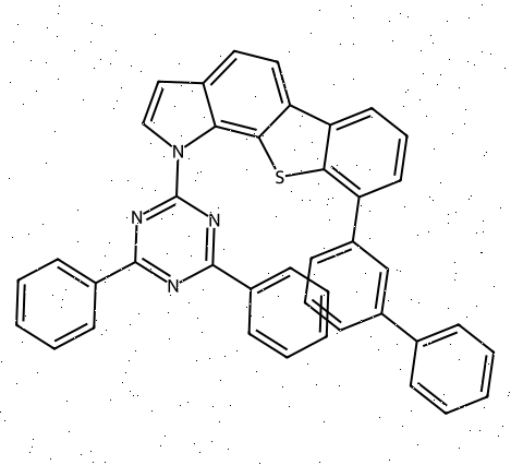 c1ccc(-c2cccc(-c3cccc4c3sc3c4ccc4ccn(-c5nc(-c6ccccc6)nc(-c6ccccc6)n5)c43)c2)cc1